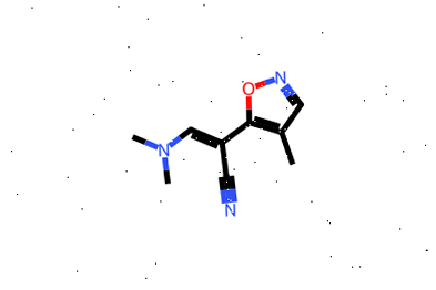 Cc1cnoc1C(C#N)=CN(C)C